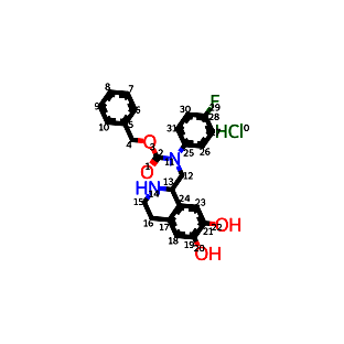 Cl.O=C(OCc1ccccc1)N(CC1NCCc2cc(O)c(O)cc21)c1ccc(F)cc1